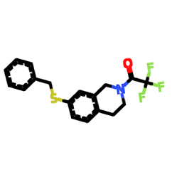 O=C(N1CCc2ccc(SCc3ccccc3)cc2C1)C(F)(F)F